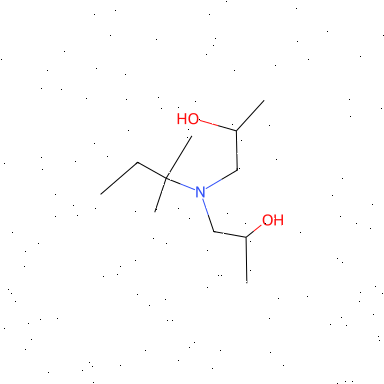 CCC(C)(C)N(CC(C)O)CC(C)O